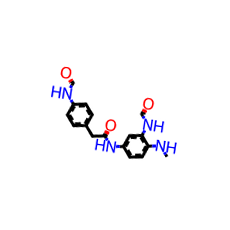 CNc1ccc(NC(=O)Cc2ccc(NC=O)cc2)cc1NC=O